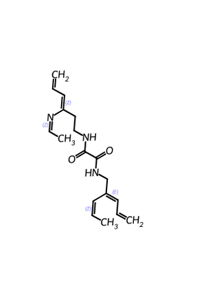 C=C/C=C(CCNC(=O)C(=O)NCC(/C=C\C)=C/C=C)\N=C/C